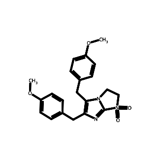 COc1ccc(Cc2nc3n(c2Cc2ccc(OC)cc2)CCS3(=O)=O)cc1